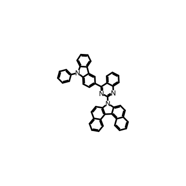 c1ccc(-n2c3ccccc3c3cc(-c4nc(-n5c6ccc7ccccc7c6c6c7ccccc7ccc65)nc5ccccc45)ccc32)cc1